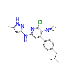 [C-]#[N+]c1c(-c2ccc(CC(C)C)cc2)cc(Nc2cc(C)[nH]n2)nc1Cl